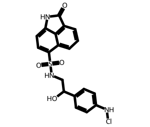 O=C1Nc2ccc(S(=O)(=O)NCC(O)c3ccc(NCl)cc3)c3cccc1c23